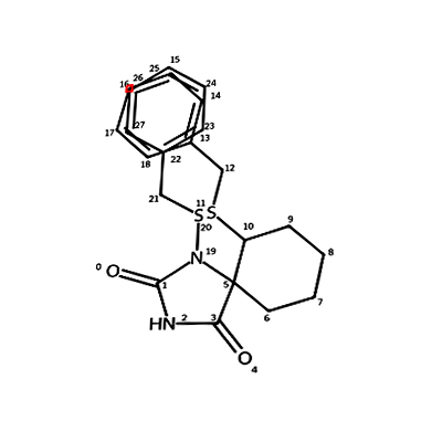 O=C1NC(=O)C2(CCCCC2SCc2ccccc2)N1SCc1ccccc1